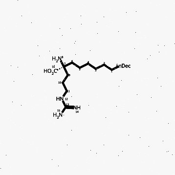 CCCCCCCCCCCCCCCC[C@](N)(CCCNC(=N)N)C(=O)O